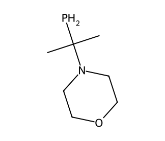 CC(C)(P)N1CCOCC1